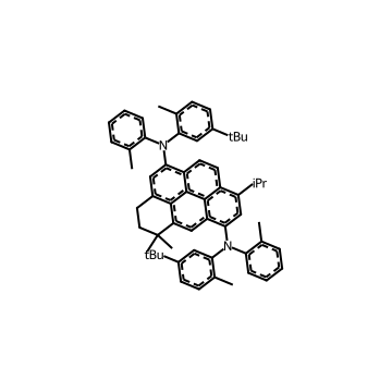 Cc1ccccc1N(c1cc(C(C)(C)C)ccc1C)c1cc(C(C)C)c2ccc3c(N(c4ccccc4C)c4cc(C(C)(C)C)ccc4C)cc4c5c(cc1c2c35)C(C)(C)CC4